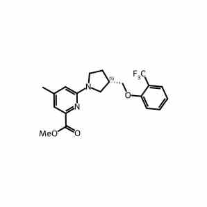 COC(=O)c1cc(C)cc(N2CC[C@H](COc3ccccc3C(F)(F)F)C2)n1